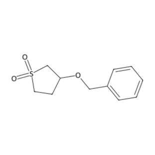 O=S1(=O)CCC(OCc2ccccc2)C1